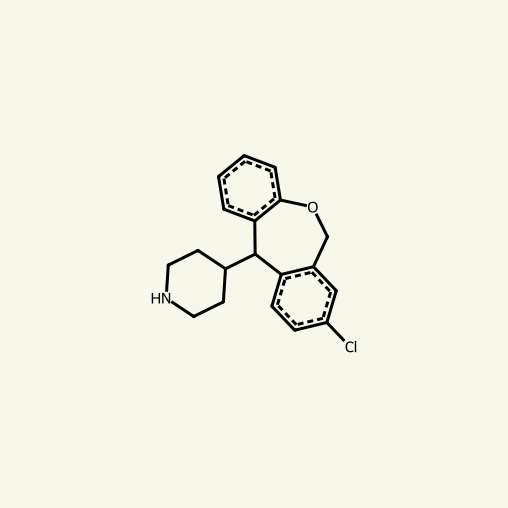 Clc1ccc2c(c1)COc1ccccc1C2C1CCNCC1